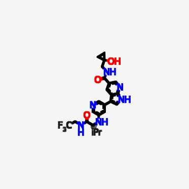 CC(C)[C@@H](Nc1cncc(-c2c[nH]c3ncc(C(=O)NCC4(O)CC4)cc23)c1)C(=O)NCC(F)(F)F